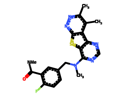 CNC(=O)c1cc(CN(C)c2ncnc3c2sc2nnc(C)c(C)c23)ccc1F